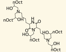 CCCCCCCCC(O)CN(CCCCC1NC(=O)C(CCCCN(CC(O)CCCCCCCC)CC(O)CCCCCCCC)N(CC(O)CCCCCCCC)C1=O)CC(O)CCCCCCCC